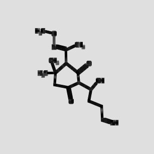 CON=C(C)C1C(=O)C(C(O)CCC=N)C(=O)CC1(C)C